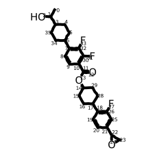 CC(O)C1CCC(c2ccc(C(=O)OC3CCC(c4ccc(C5CO5)cc4F)CC3)c(F)c2F)CC1